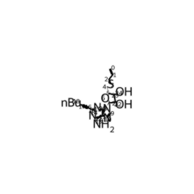 C=CCSC[C@H]1O[C@@H](n2cnc3c(N)nc(C#CCCCC)nc32)C(O)C1O